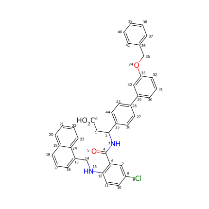 O=C(O)CC(NC(=O)c1cc(Cl)ccc1NCc1cccc2ccccc12)c1ccc(-c2cccc(OCc3ccccc3)c2)cc1